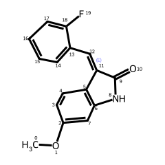 COc1ccc2c(c1)NC(=O)/C2=C/c1ccccc1F